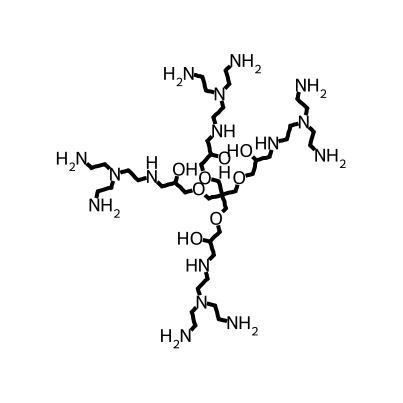 NCCN(CCN)CCNCC(O)COCC(COCC(O)CNCCN(CCN)CCN)(COCC(O)CNCCN(CCN)CCN)COCC(O)CNCCN(CCN)CCN